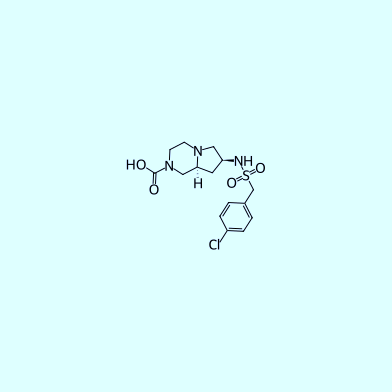 O=C(O)N1CCN2C[C@@H](NS(=O)(=O)Cc3ccc(Cl)cc3)C[C@H]2C1